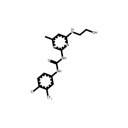 Cc1cc(NCCO)nc(NC(=O)Nc2ccc(Cl)c(C(F)(F)F)c2)n1